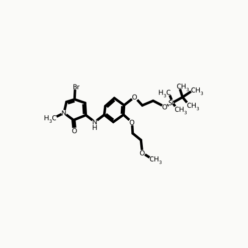 COCCOc1cc(Nc2cc(Br)cn(C)c2=O)ccc1OCCO[Si](C)(C)C(C)(C)C